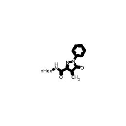 C=C1C(=O)N(c2ccccc2)N=C1C(=O)NCCCCCC